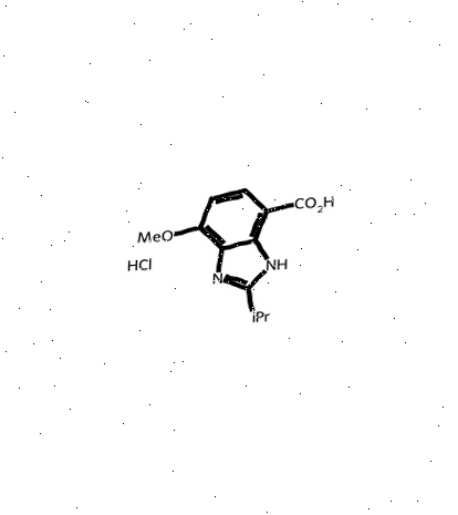 COc1ccc(C(=O)O)c2[nH]c(C(C)C)nc12.Cl